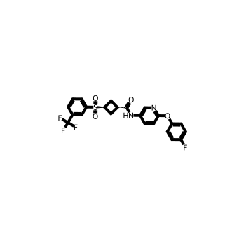 O=C(Nc1ccc(Oc2ccc(F)cc2)nc1)[C@H]1C[C@H](S(=O)(=O)c2cccc(C(F)(F)F)c2)C1